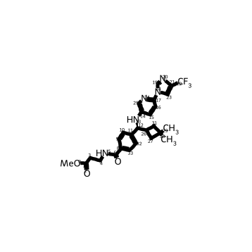 COC(=O)CCNC(=O)c1ccc([C@@H](Nc2ccc(-n3cnc(C(F)(F)F)c3)nc2)C2CC(C)(C)C2)cc1